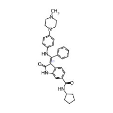 CN1CCN(c2ccc(N/C(=C3\C(=O)Nc4cc(C(=O)NC5CCCC5)ccc43)c3ccccc3)cc2)CC1